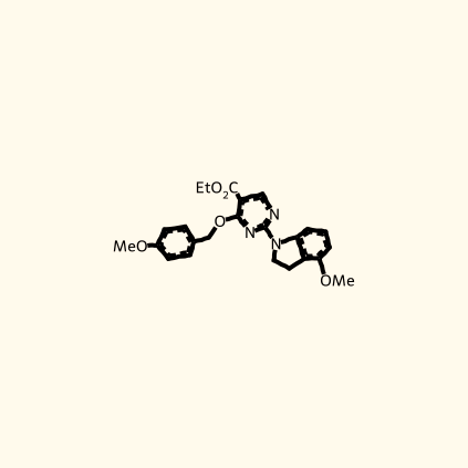 CCOC(=O)c1cnc(N2CCc3c(OC)cccc32)nc1OCc1ccc(OC)cc1